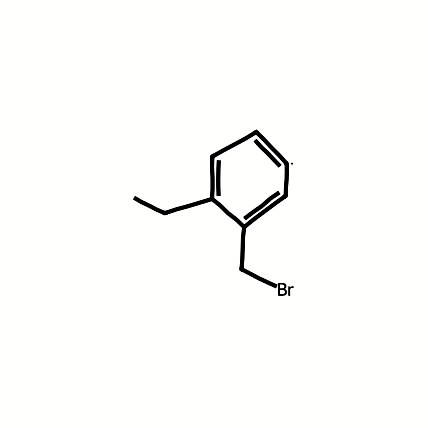 CCc1cc[c]cc1CBr